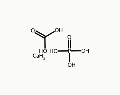 O=C(O)O.O=P(O)(O)O.[CaH2]